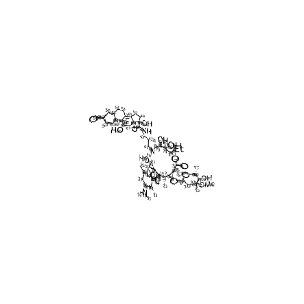 CC[C@H]1OC(=O)[C@H](C)[C@@H](O[C@@H]2C[C@](C)(OC)[C@H](O)[C@@H](C)O2)[C@H](C)[C@@H](O[C@@H]2O[C@H](C)C[C@@H](N(C)C)[C@H]2C)[C@]2(O)C[C@@]2(O)CN(CCCNC(=O)[C@@]2(O)CCC3C4CCC5=CC(=O)C=C[C@]5(C)[C@@]4(F)[C@@H](O)C[C@@]32C)[C@H](C)[C@@H](O)[C@]1(C)O